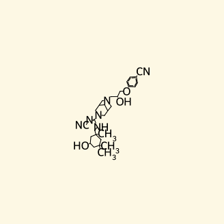 CC1(C)CC(O)CC(C)(CN/C(=N\C#N)N2CC3CC(CN(CC(O)COc4ccc(C#N)cc4)C3)C2)C1